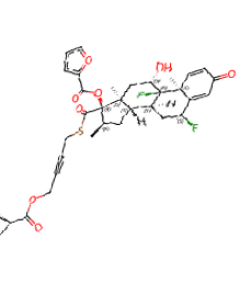 C[C@@H]1C[C@H]2[C@@H]3C[C@H](F)C4=CC(=O)C=C[C@]4(C)[C@@]3(F)[C@@H](O)C[C@]2(C)[C@@]1(OC(=O)c1ccco1)C(=O)SCC#CCOC(=O)C1CCC1